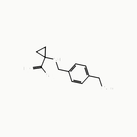 C=C(N)C1(NCc2ccc(CCCCCCCCCC)cc2)CC1